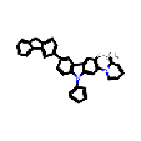 C=C1C=CC=CN1c1cc2c(cc1C)c1cc(-c3ccc4c(c3)-c3ccccc3C4)ccc1n2-c1ccccc1